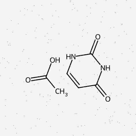 CC(=O)O.O=c1cc[nH]c(=O)[nH]1